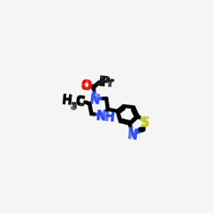 CC(C)C(=O)N1CC(c2ccc3scnc3c2)NCC1C